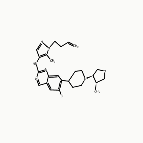 C=CCCn1ncc(Nc2ncc3cc(Cl)c(C4CCN([C@H]5COC[C@H]5C)CC4)cc3n2)c1C